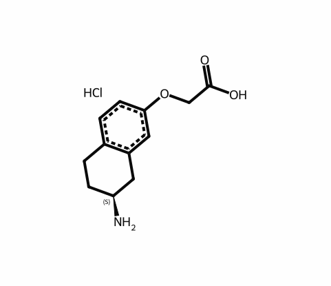 Cl.N[C@H]1CCc2ccc(OCC(=O)O)cc2C1